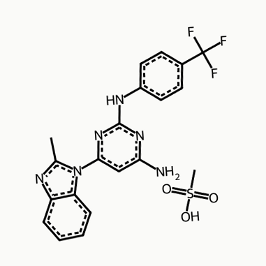 CS(=O)(=O)O.Cc1nc2ccccc2n1-c1cc(N)nc(Nc2ccc(C(F)(F)F)cc2)n1